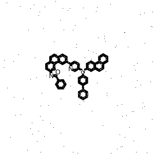 c1ccc(-c2ccc(N(c3ccc(-c4ccc5ccc6ccc7nc(-c8ccccc8)oc7c6c5c4)nc3)c3ccc4c(ccc5ccccc54)c3)cc2)cc1